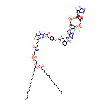 CCCCCCCCCCCCCCCCCC(=O)OC[C@@H](COP(=O)(O)OCCNC(=O)CCCC(=O)N[C@H](C(=O)N[C@@H](C)C(=O)Nc1ccc(COC(=O)N(C)Cc2ccccc2C(=O)Nc2ncnc3c2ncn3[C@@H]2O[C@@H]3CO[P@@](=O)(S)O[C@@H]4[C@H](O)[C@@H](CO[P@@](=O)(S)O[C@H]3[C@H]2F)O[C@H]4n2cc(F)c3c(=O)[nH]cnc32)cc1)C(C)C)OC(=O)CCCCCCCCCCCCCCCCC